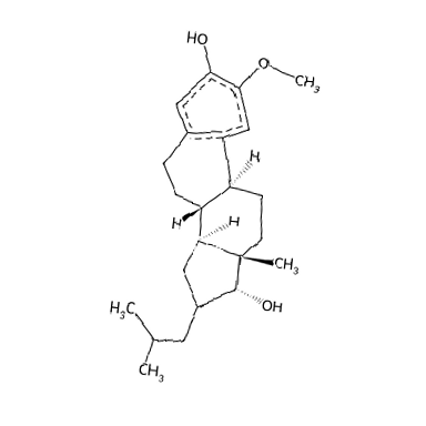 COc1cc2c(cc1O)CC[C@@H]1[C@@H]2CC[C@]2(C)[C@H](O)C(CC(C)C)C[C@@H]12